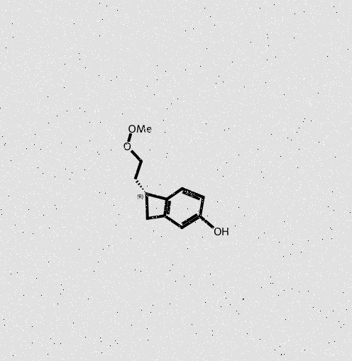 COOCC[C@H]1Cc2cc(O)ccc21